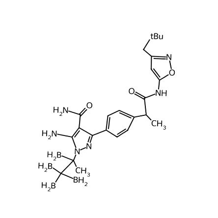 BC(B)(B)C(B)(C)n1nc(-c2ccc(C(C)C(=O)Nc3cc(CC(C)(C)C)no3)cc2)c(C(N)=O)c1N